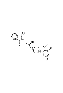 COc1c(F)cc(F)cc1N1CCN(C[C@H](O)CCN2C(=O)c3ccccc3C2=O)CC1